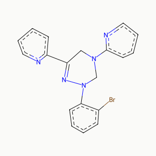 Brc1ccccc1N1CN(c2ccccn2)CC(c2ccccn2)=N1